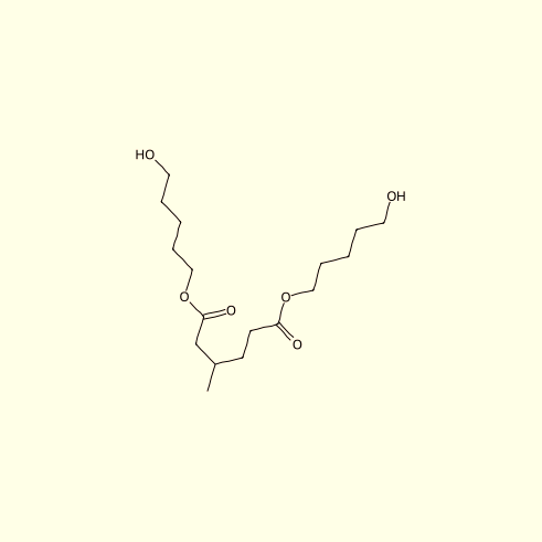 CC(CCC(=O)OCCCCCO)CC(=O)OCCCCCO